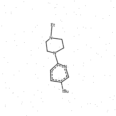 CCN1CCN(c2ccc(C(C)(C)C)cn2)CC1